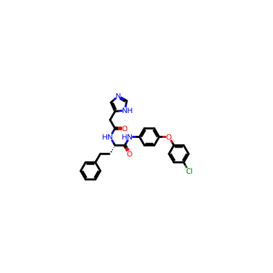 O=C(Cc1cnc[nH]1)N[C@@H](CCc1ccccc1)C(=O)Nc1ccc(Oc2ccc(Cl)cc2)cc1